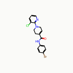 O=C(Nc1ccc(Br)cc1)C1=CCN(c2ncccc2Cl)CC1